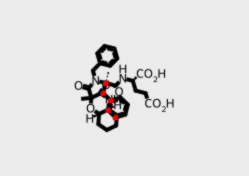 CC1(C(=O)N(Cc2ccccc2)[C@](C)(Cc2ccccc2)C(=O)N[C@H](CCC(=O)O)C(=O)O)O[C@H]2CCCC[C@@H]2NC1=O